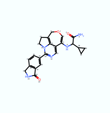 NC(=O)C(NC1=COCC2=C3C1=CN=C(c1ccc4c(c1)C(=O)NC4)N3CC2)C1CC1